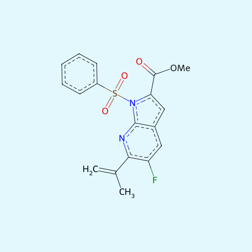 C=C(C)c1nc2c(cc1F)cc(C(=O)OC)n2S(=O)(=O)c1ccccc1